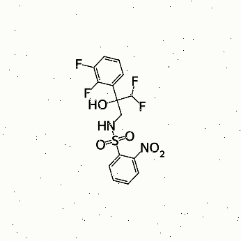 O=[N+]([O-])c1ccccc1S(=O)(=O)NCC(O)(c1cccc(F)c1F)C(F)F